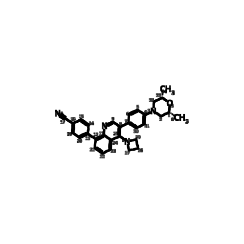 C[C@@H]1CN(c2ccc(-c3cnc4c(-c5ccc(C#N)cc5)cccc4c3N3CCC3)cc2)C[C@H](C)O1